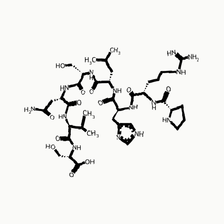 CC(C)C[C@H](NC(=O)[C@H](Cc1c[nH]cn1)NC(=O)[C@H](CCCNC(=N)N)NC(=O)[C@@H]1CCCN1)C(=O)N[C@@H](CO)C(=O)N[C@@H](CC(N)=O)C(=O)N[C@H](C(=O)N[C@@H](CO)C(=O)O)C(C)C